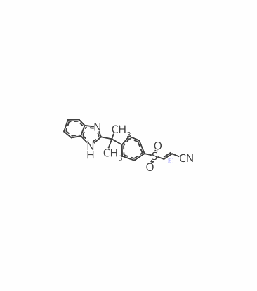 CC(C)(c1ccc(S(=O)(=O)/C=C/C#N)cc1)c1nc2ccccc2[nH]1